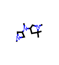 CN1CC(N(C)C2CN(C)C(C)(C)C2)C1